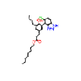 CCCCCCCCOC(=O)CCc1cc(CCCC)c(O)c(-c2c(Cl)ccc3[nH]nnc23)c1